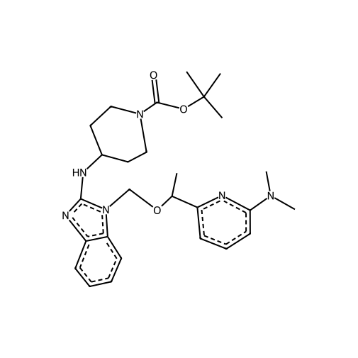 CC(OCn1c(NC2CCN(C(=O)OC(C)(C)C)CC2)nc2ccccc21)c1cccc(N(C)C)n1